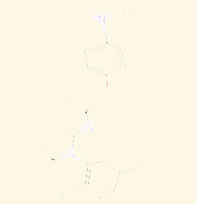 Cc1ccc(C(C)C)c(N2C(=O)CS/C2=N\C(=O)Oc2ccc([N+](=O)O)cc2)c1